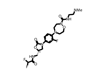 CNCCNC(=O)N1CCN(c2ccc(N3C[C@H](CNC(=O)C(F)F)OC3=O)cc2F)CCO1